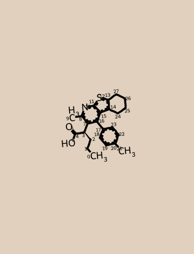 CCC[C@@H](C(=O)O)c1c(C)nc2sc3c(c2c1-c1ccc(C)cc1)CCCC3